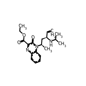 C=C[C@H](C[C@@H](C)n1c(=O)c(C(=O)OCC)nc2ccccc21)NC(C)C